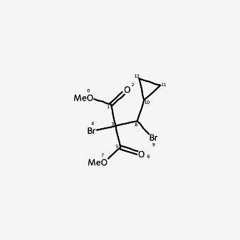 COC(=O)C(Br)(C(=O)OC)C(Br)C1CC1